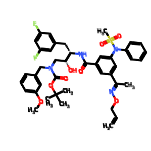 C=CCO/N=C(\C)c1cc(C(=O)N[C@@H](Cc2cc(F)cc(F)c2)[C@H](O)CN(Cc2cccc(OC)c2)C(=O)OC(C)(C)C)cc(N(c2ccccc2)S(C)(=O)=O)c1